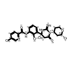 C[C@@H]1C[C@H](N2C(=N)N[C@](C)(c3cccc(NC(=O)c4ccc(Cl)cn4)c3Cl)CC2=O)CCO1